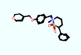 C[N+]1(Cc2ccc(OCC3CCOCC3)cc2)CCCC(c2ccccc2)S1(=O)=O